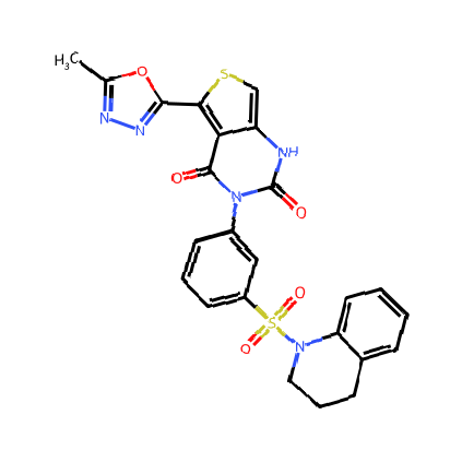 Cc1nnc(-c2scc3[nH]c(=O)n(-c4cccc(S(=O)(=O)N5CCCc6ccccc65)c4)c(=O)c23)o1